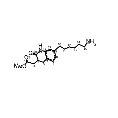 COC(=O)CC1Cc2ccc(CCCCCCN)cc2NC1=O